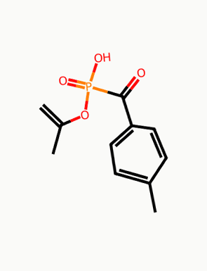 C=C(C)OP(=O)(O)C(=O)c1ccc(C)cc1